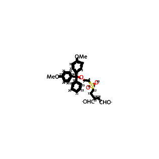 COc1ccc(C(OCCS(=O)(=O)CCC([C]=O)C[C]=O)(c2ccccc2)c2ccc(OC)cc2)cc1